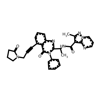 Cc1nn2cccnc2c1C(=O)NC(C)c1nc2cccc(C#CCN3CCCC3=O)c2c(=O)n1-c1ccccc1